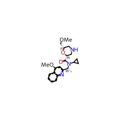 COC[C@@H]1CNC[C@H](C(=O)N(C2CC2)[C@H](C)c2cc(OC)c3ccccc3n2)O1